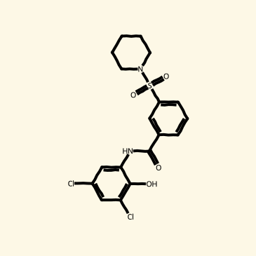 O=C(Nc1cc(Cl)cc(Cl)c1O)c1cccc(S(=O)(=O)N2CCCCC2)c1